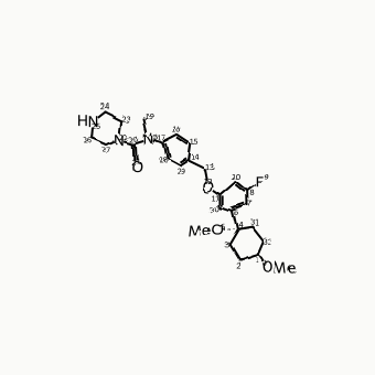 CO[C@H]1CC[C@@](OC)(c2cc(F)cc(OCc3ccc(N(C)C(=O)N4CCNCC4)cc3)c2)CC1